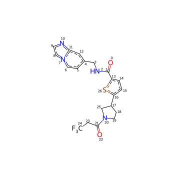 O=C(NCc1ccn2ccnc2c1)c1ccc(C2CCN(C(=O)CC(F)(F)F)C2)s1